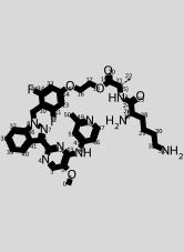 COc1cnc(-c2nn(Cc3c(F)cc(OCCOC(=O)[C@H](C)NC(=O)[C@@H](N)CCCCN)cc3F)c3ccccc23)nc1Nc1ccnc(C)c1